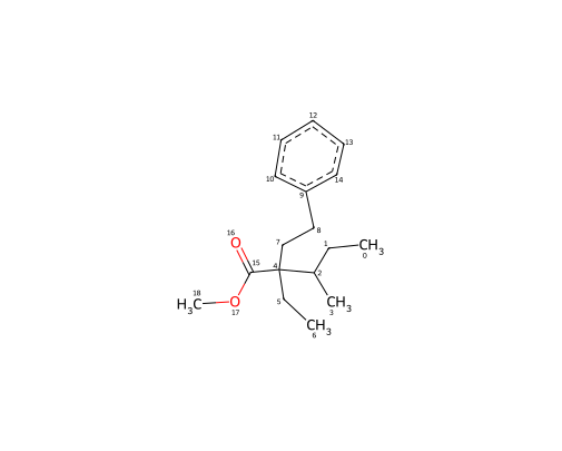 CCC(C)C(CC)(CCc1ccccc1)C(=O)OC